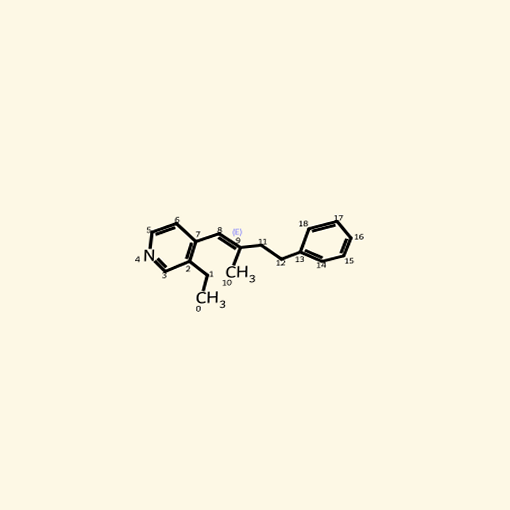 CCc1cnccc1/C=C(\C)CCc1ccccc1